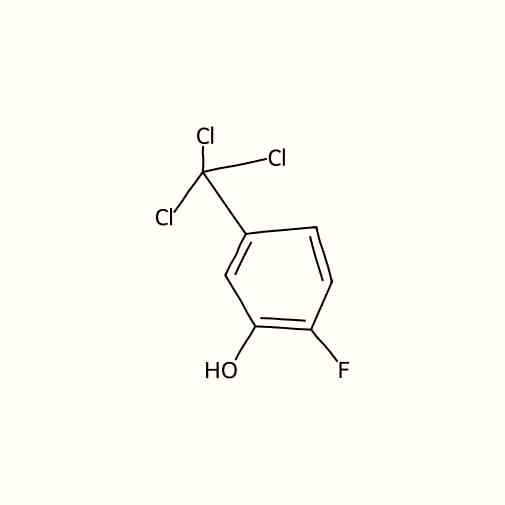 Oc1cc(C(Cl)(Cl)Cl)ccc1F